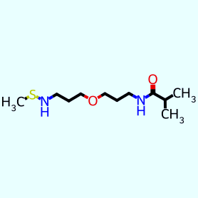 CSNCCCOCCCNC(=O)C(C)C